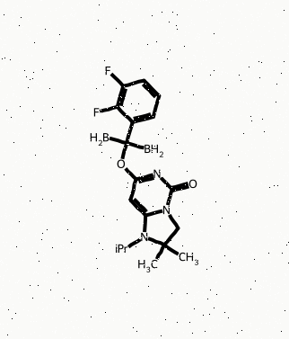 BC(B)(Oc1cc2n(c(=O)n1)CC(C)(C)N2C(C)C)c1cccc(F)c1F